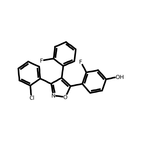 Oc1ccc(-c2onc(-c3ccccc3Cl)c2-c2ccccc2F)c(F)c1